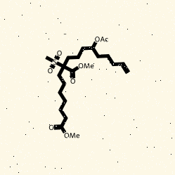 C=CCCCC(CCCC(CCCCCCC(=O)OC)(C(=O)OC)S(C)(=O)=O)OC(C)=O